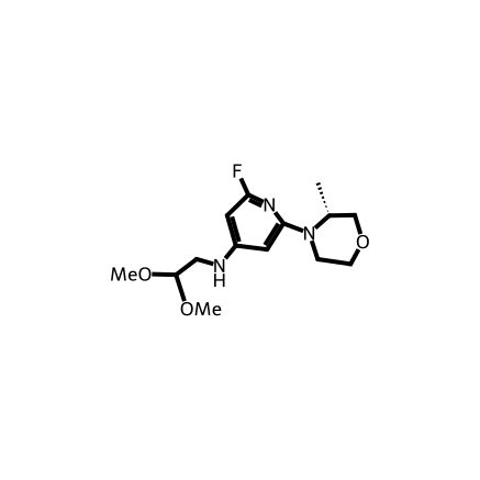 COC(CNc1cc(F)nc(N2CCOC[C@H]2C)c1)OC